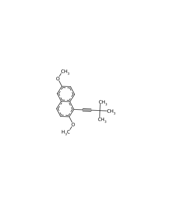 COc1ccc2c(C#CC(C)(C)C)c(OC)ccc2c1